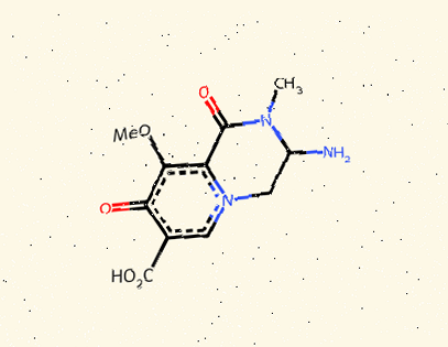 COc1c2n(cc(C(=O)O)c1=O)CC(N)N(C)C2=O